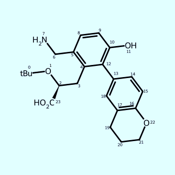 CC(C)(C)O[C@@H](Cc1c(CN)ccc(O)c1-c1ccc2c(c1)CCCO2)C(=O)O